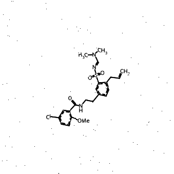 C=CCc1ccc(CCNC(=O)c2cc(Cl)ccc2OC)cc1S(=O)(=O)N=CN(C)C